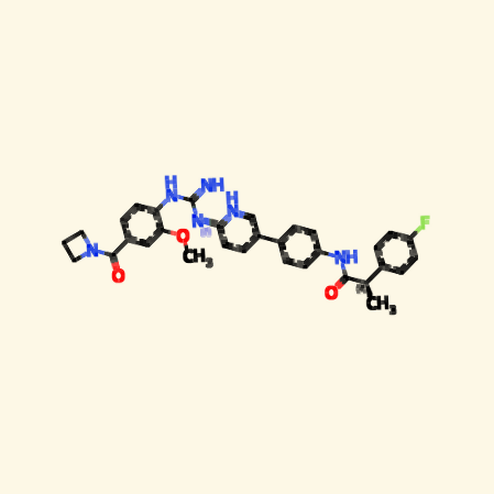 COc1cc(C(=O)N2CCC2)ccc1NC(=N)/N=c1/ccc(-c2ccc(NC(=O)[C@H](C)c3ccc(F)cc3)cc2)c[nH]1